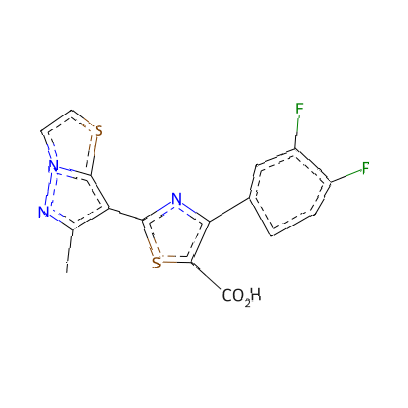 Cc1nn2ccsc2c1-c1nc(-c2ccc(F)c(F)c2)c(C(=O)O)s1